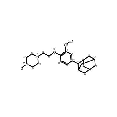 CCOc1cc(C2[C]3CC4CC(C3)CC2C4)ccc1OCCN1CCN(C)CC1